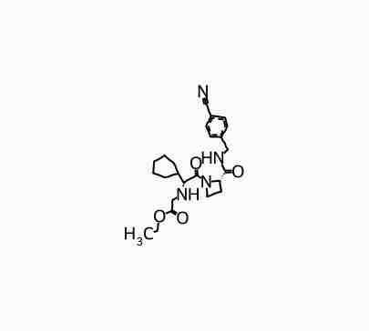 CCOC(=O)CN[C@@H](C(=O)N1CC[C@H]1C(=O)NCc1ccc(C#N)cc1)C1CCCCC1